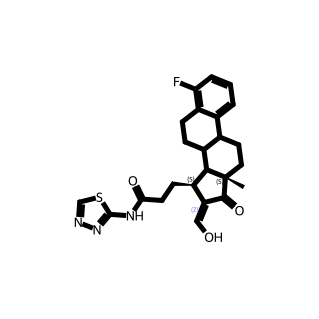 C[C@]12CCC3c4cccc(F)c4CCC3C1[C@H](CCC(=O)Nc1nncs1)/C(=C/O)C2=O